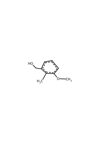 [CH2]c1c(CO)cccc1OC